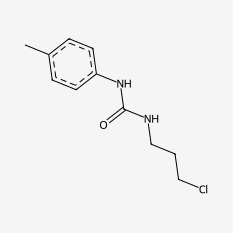 Cc1ccc(NC(=O)NCCCCl)cc1